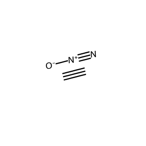 C#C.N#[N+][O-]